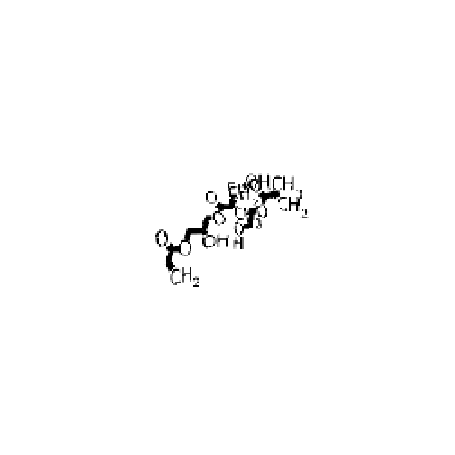 C=C(C)C(=O)OCCO.C=CC(=O)OCC(O)COC(=O)C(=C)C.CCO